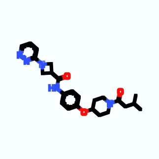 CC(C)CC(=O)N1CCC(Oc2ccc(NC(=O)C3CN(c4cccnn4)C3)cc2)CC1